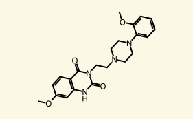 COc1ccc2c(=O)n(CCN3CCN(c4ccccc4OC)CC3)c(=O)[nH]c2c1